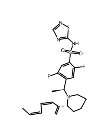 C=C(/C=C\C=C/C)[C@H]1CCCCN1[C@@H](C)c1cc(F)c(S(=O)(=O)Nc2ncns2)cc1F